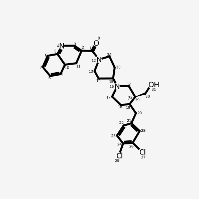 O=C(C1=CN=C2C=CC=CC2C1)N1CCC(N2CCC(Cc3ccc(Cl)c(Cl)c3)[C@H](CO)C2)CC1